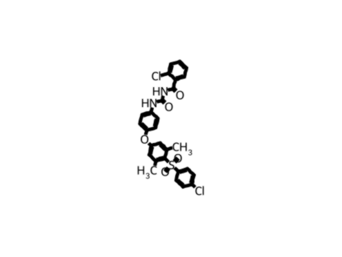 Cc1cc(Oc2ccc(NC(=O)NC(=O)c3ccccc3Cl)cc2)cc(C)c1S(=O)(=O)c1ccc(Cl)cc1